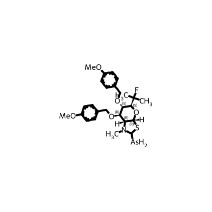 COc1ccc(CO[C@H]2[C@H](OCc3ccc(OC)cc3)[C@@H](C(C)(C)F)O[C@@H]3SC([AsH2])N(C)[C@H]23)cc1